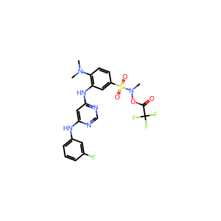 CN(C)c1ccc(S(=O)(=O)N(C)OC(=O)C(F)(F)F)cc1Nc1cc(Nc2cccc(F)c2)ncn1